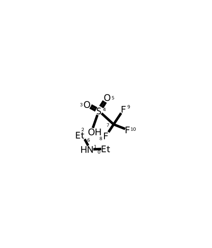 CCNCC.O=S(=O)(O)C(F)(F)F